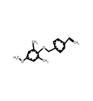 C=Cc1ccc(COc2c(C)cc(OC)cc2C)cc1